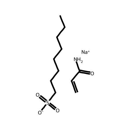 C=CC(N)=O.CCCCCCCCS(=O)(=O)[O-].[Na+]